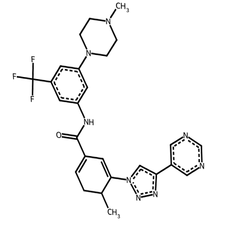 CC1CC=C(C(=O)Nc2cc(N3CCN(C)CC3)cc(C(F)(F)F)c2)C=C1n1cc(-c2cncnc2)nn1